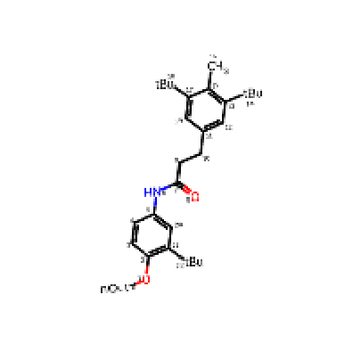 CCCCCCCCOc1ccc(NC(=O)CCc2cc(C(C)(C)C)c(C)c(C(C)(C)C)c2)cc1C(C)(C)C